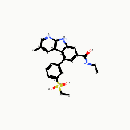 CCNC(=O)c1cc(-c2cccc(S(=O)(=O)CC)c2)c2c(c1)[nH]c1ncc(C)cc12